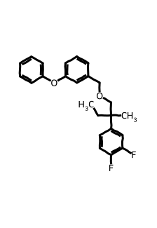 CCC(C)(COCc1cccc(Oc2ccccc2)c1)c1ccc(F)c(F)c1